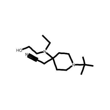 CCN(CCO)C1(CC#N)CCN(C(C)(C)C)CC1